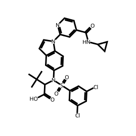 CC(C)(C)C(C(=O)O)N(c1ccc2c(ccn2-c2cc(C(=O)NC3CC3)ccn2)c1)S(=O)(=O)c1cc(Cl)cc(Cl)c1